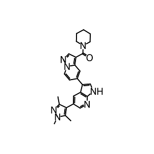 Cc1nn(C)c(C)c1-c1cnc2[nH]cc(-c3ccn4ncc(C(=O)N5CCCCC5)c4c3)c2c1